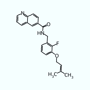 CC(C)=CCOc1cccc(CNC(=O)c2ccc3ncccc3c2)c1F